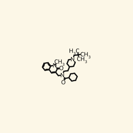 Cn1c(=O)c(CN(CCC2CCN(CC(C)(C)C)CC2)C(=O)C2CCCCC2)cc2ccccc21